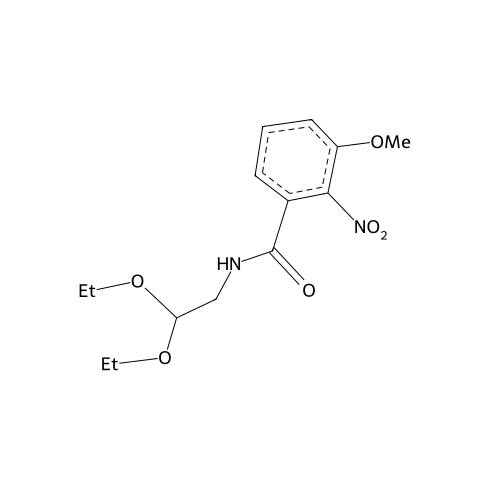 CCOC(CNC(=O)c1cccc(OC)c1[N+](=O)[O-])OCC